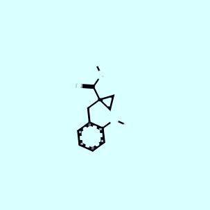 COc1ccccc1CC1(C(=N)NO)CC1